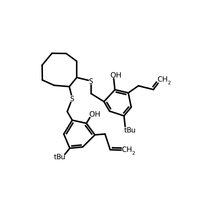 C=CCc1cc(C(C)(C)C)cc(CSC2CCCCCCC2SCc2cc(C(C)(C)C)cc(CC=C)c2O)c1O